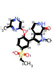 CCS(=O)(=O)c1ccc(Oc2cncc(C)n2)c(-c2cn(C)c3c(=O)[nH]ccc23)c1